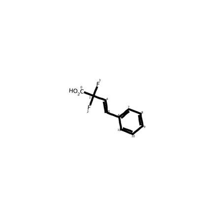 O=C(O)C(F)(F)C=Cc1ccccc1